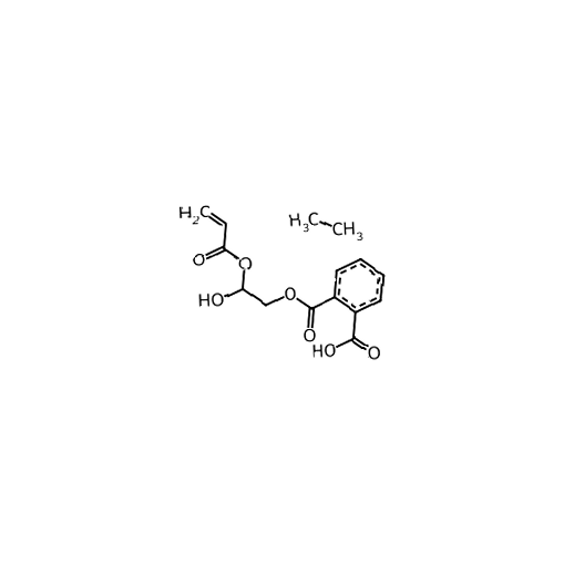 C=CC(=O)OC(O)COC(=O)c1ccccc1C(=O)O.CC